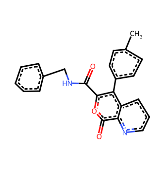 Cc1ccc(-c2c(C(=O)NCc3ccccc3)oc(=O)c3ncccc23)cc1